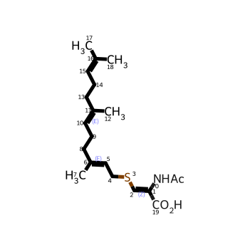 CC(=O)N/C(=C\SC/C=C(\C)CC/C=C(\C)CCC=C(C)C)C(=O)O